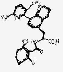 Nc1ccc(C(F)(F)F)c(-c2ccc(CC(NC(=O)c3c(Cl)cccc3Cl)C(=O)O)c3cccnc23)n1